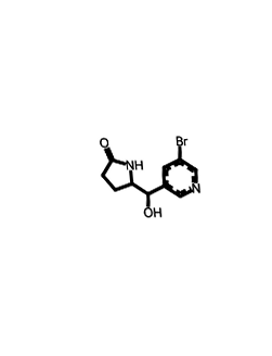 O=C1CCC(C(O)c2cncc(Br)c2)N1